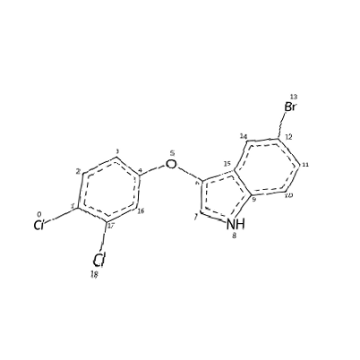 Clc1ccc(Oc2c[nH]c3ccc(Br)cc23)cc1Cl